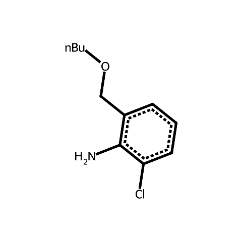 CCCCOCc1cccc(Cl)c1N